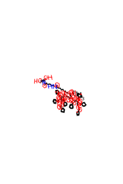 CC(=O)OC(C(O)OCCCCCCCCC(=O)NCCCCCC(=O)N1C[C@H](O)C[C@H]1CO)C(OC(O)C(OC(=O)c1ccccc1)C(OC(=O)c1ccccc1)C(CCOC(=O)c1ccccc1)OC(=O)c1ccccc1)C(O)CCOC(O)C(OC(=O)c1ccccc1)C(OC(=O)c1ccccc1)C(CCOC(=O)c1ccccc1)OC(=O)c1ccccc1